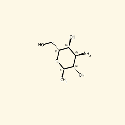 C[C@H]1O[C@H](CO)[C@@H](O)[C@@H](N)[C@@H]1O